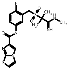 CNC(=N)C(C)(C)S(=O)(=O)Cc1cc(NC(=O)c2cn3ccsc3n2)ccc1F